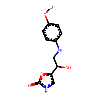 COc1ccc(NCC(O)c2c[nH]c(=O)o2)cc1